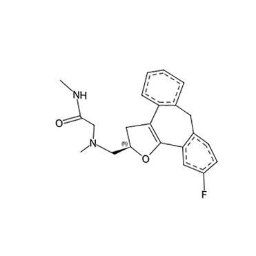 CNC(=O)CN(C)C[C@H]1CC2=C(O1)c1cc(F)ccc1Cc1ccccc12